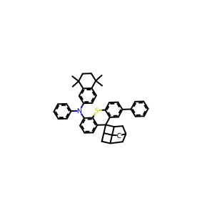 CC1(C)CCC(C)(C)c2cc(N(c3ccccc3)c3cccc4c3Sc3ccc(-c5ccccc5)cc3C43C4CC5CC6CC3C64C5)ccc21